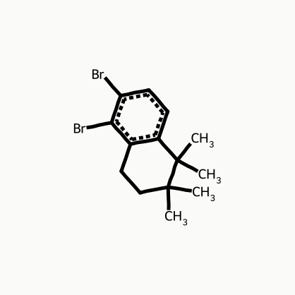 CC1(C)CCc2c(ccc(Br)c2Br)C1(C)C